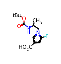 CC(Cn1cc(C(=O)O)cc1F)NC(=O)OC(C)(C)C